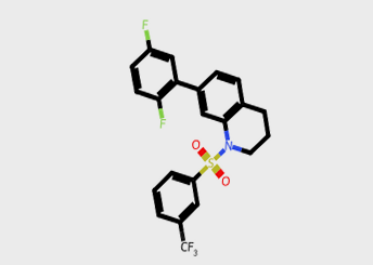 O=S(=O)(c1cccc(C(F)(F)F)c1)N1CCCc2ccc(-c3cc(F)ccc3F)cc21